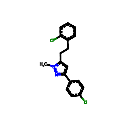 Cn1nc(-c2ccc(Cl)cc2)cc1CCc1ccccc1Cl